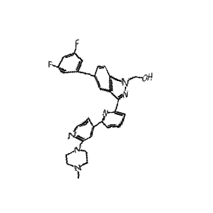 CN1CCN(c2cc(-c3cccc(-c4nn(CO)c5ccc(Cc6cc(F)cc(F)c6)cc45)n3)ccn2)CC1